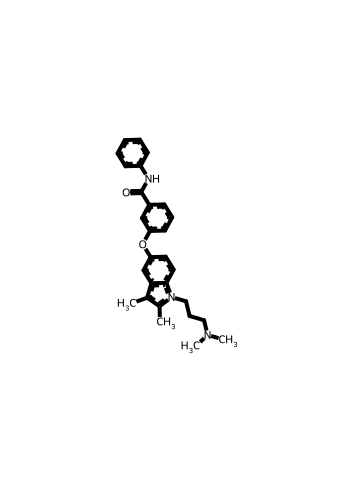 Cc1c(C)n(CCCN(C)C)c2ccc(Oc3cccc(C(=O)Nc4ccccc4)c3)cc12